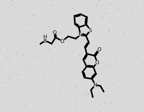 CBCC(=O)OCC[n+]1c(/C=C/c2cc3ccc(N(CC)CC)cc3oc2=O)sc2ccccc21